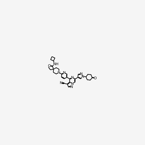 CCC1(C(=O)NC2CCC2)CCN(c2ccc(-c3nc(-c4cnn(C5CCC(=O)CC5)c4)cn4ncc(C#N)c34)cn2)CC1